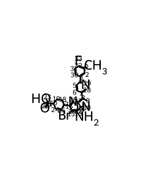 Cc1cc(-c2ccc(-c3cnn4c(N)c(Br)c(C5CCC(C(=O)O)CC5)nc34)cn2)ccc1F